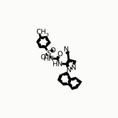 Cc1ccc(S(=O)(=O)NC(=O)Nc2c(C#N)cnn2-c2cccc3ccccc23)cc1